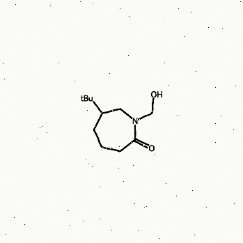 CC(C)(C)C1CCCC(=O)N(CO)C1